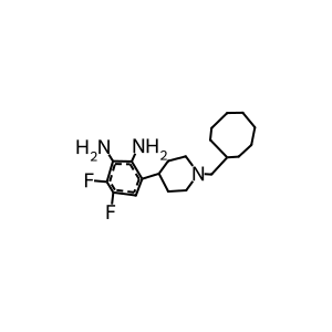 Nc1c(C2CCN(CC3CCCCCCC3)CC2)cc(F)c(F)c1N